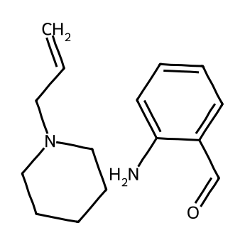 C=CCN1CCCCC1.Nc1ccccc1C=O